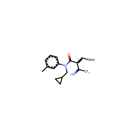 CN/C=C(\C(=N)C(F)(F)F)C(=O)N(CC1CC1)c1cccc(C)c1